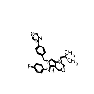 CC(C)CN1COCc2c1cn(Cc1ccc(-n3cncn3)cc1)c2Nc1ccc(F)cc1